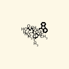 CC(C)C[C@@H](C(=O)N[C@@H](C)C(=O)N(C)[C@@H](C)C(=O)O)N(C)C(=O)OCC1c2ccccc2-c2ccccc21